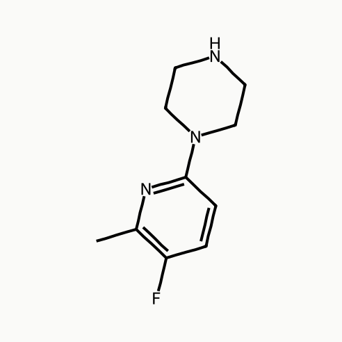 Cc1nc(N2CCNCC2)ccc1F